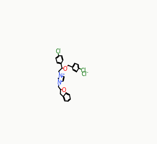 Clc1ccc(COC(C[n+]2ccn(CC3Cc4ccccc4O3)c2)c2ccc(Cl)cc2)cc1.[Cl-]